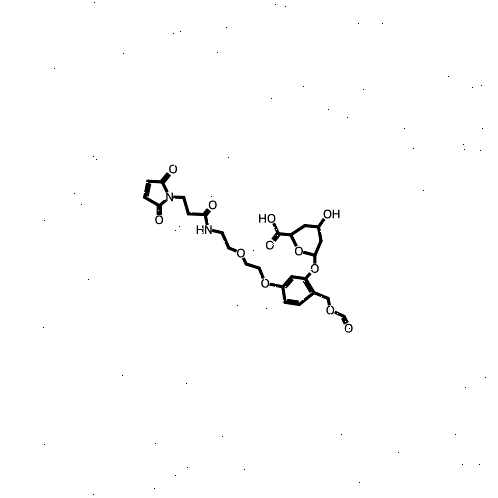 O=COCc1ccc(OCCOCCNC(=O)CCN2C(=O)C=CC2=O)cc1OC1CC(O)CC(C(=O)O)O1